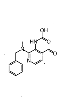 CN(Cc1ccccc1)c1nccc(C=O)c1NC(=O)O